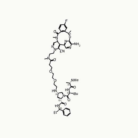 CC[C@@H](NC(=O)[C@@H]1C[C@H](NCCOCCOCCC(=O)N(C)CCN2N=CC3C(=C2C#N)c2cnc(N)c(n2)O[C@H](C)c2cc(F)ccc2C(=O)N3C)CN1C(=O)[C@@H](NC(=O)[C@H](C)NC)C(C)(C)C)c1ccccc1